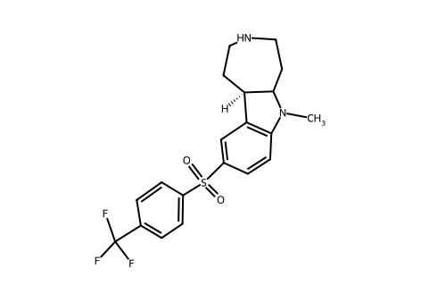 CN1c2ccc(S(=O)(=O)c3ccc(C(F)(F)F)cc3)cc2[C@H]2CCNCCC21